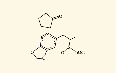 CCCCCCCC[S+]([O-])C(C)Cc1ccc2c(c1)OCO2.O=C1CCCC1